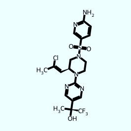 CC(Cl)=C[C@H]1CN(S(=O)(=O)c2ccc(N)nc2)CCN1c1ncc([C@@](C)(O)C(F)(F)F)cn1